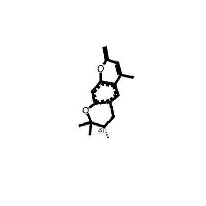 C=C1C=C(C)c2cc3c(cc2O1)OC(C)(C)[C@@H](C)C3